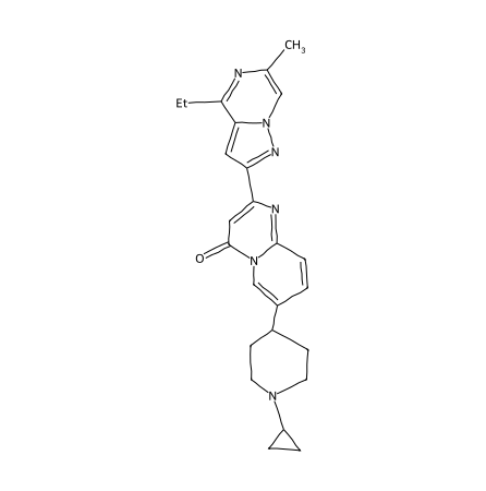 CCc1nc(C)cn2nc(-c3cc(=O)n4cc(C5CCN(C6CC6)CC5)ccc4n3)cc12